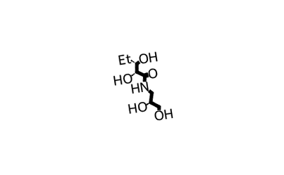 CC[C@H](O)[C@@H](O)C(=O)NC[C@@H](O)CO